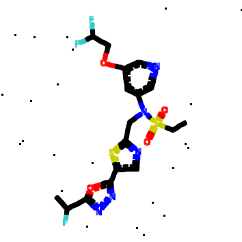 CCS(=O)(=O)N(Cc1ncc(-c2nnc(C(C)F)o2)s1)c1cncc(OCC(F)F)c1